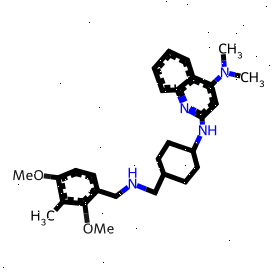 COc1ccc(CNCC2CCC(Nc3cc(N(C)C)c4ccccc4n3)CC2)c(OC)c1C